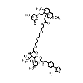 Cc1ncsc1-c1ccc(CNC(=O)[C@@H]2C[C@@H](O)CN2C(=O)[C@@H](NC(=O)COCCOCCOCCNC(=O)O[C@H]2C[C@@H](C)C=C3C=C[C@H](C)[C@H](CC[C@@H]4C[C@@H](O)CC(=O)O4)[C@H]32)C(C)(C)C)cc1